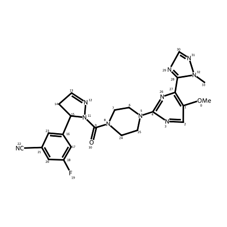 COc1cnc(N2CCN(C(=O)N3N=CCC3c3cc(F)cc(C#N)c3)CC2)nc1-c1ncnn1C